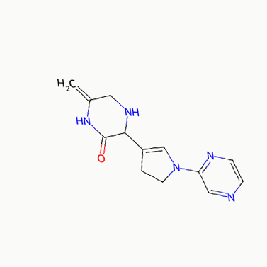 C=C1CNC(C2=CN(c3cnccn3)CC2)C(=O)N1